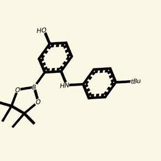 CC(C)(C)c1ccc(Nc2ccc(O)cc2B2OC(C)(C)C(C)(C)O2)cc1